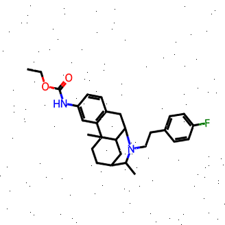 CCOC(=O)Nc1ccc2c(c1)C1(C)CCC3CC1C(C2)N(CCc1ccc(F)cc1)C3C